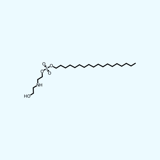 CCCCCCCCCCCCCCCCCCOS(=O)(=O)OCCNCCO